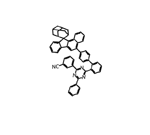 N#Cc1cccc(-c2nc(-c3ccccc3)nc(-c3ccccc3-c3ccc(-c4cc5c(c6ccccc46)C4(c6ccccc6-5)C5CC6CC(C5)CC4C6)cc3)n2)c1